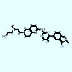 CC(C)c1c2cc(-c3nc(Nc4ccc5c(n4)CCN(CCN(C)CCC#N)C5)ncc3F)ccc2nn1C